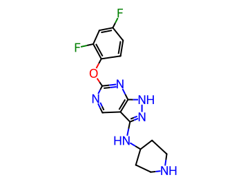 Fc1ccc(Oc2ncc3c(NC4CCNCC4)n[nH]c3n2)c(F)c1